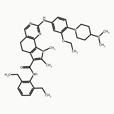 CCOc1cc(Nc2ncc3c(n2)-c2c(c(C(=O)Nc4c(CC)cccc4CC)c(C)n2C)CC3)ccc1N1CCC(N(C)C)CC1